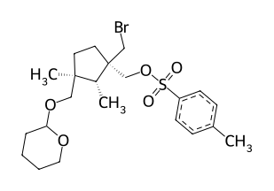 Cc1ccc(S(=O)(=O)OC[C@@]2(CBr)CC[C@](C)(COC3CCCCO3)[C@H]2C)cc1